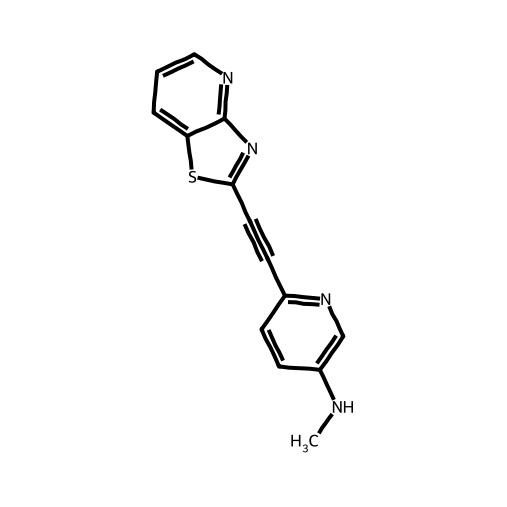 CNc1ccc(C#Cc2nc3ncccc3s2)nc1